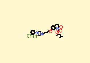 CC(C)CC(C)OC(=O)N1C(=O)CCc2ccc(OCCCCN3CCN(c4cccc(Cl)c4Cl)CC3)cc21